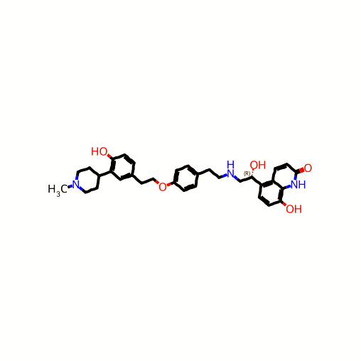 CN1CCC(c2cc(CCOc3ccc(CCNC[C@H](O)c4ccc(O)c5[nH]c(=O)ccc45)cc3)ccc2O)CC1